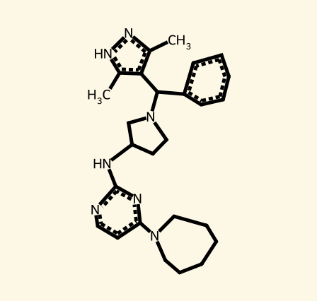 Cc1n[nH]c(C)c1C(c1ccccc1)N1CCC(Nc2nccc(N3CCCCCC3)n2)C1